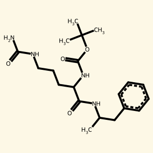 CC(Cc1ccccc1)NC(=O)C(CCCNC(N)=O)NC(=O)OC(C)(C)C